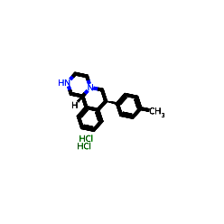 Cc1ccc([C@@H]2CN3CCNC[C@H]3c3ccccc32)cc1.Cl.Cl